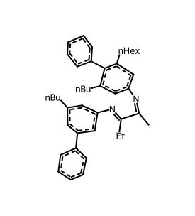 CCCCCCc1cc(N=C(C)C(CC)=Nc2cc(CCCC)cc(-c3ccccc3)c2)cc(CCCC)c1-c1ccccc1